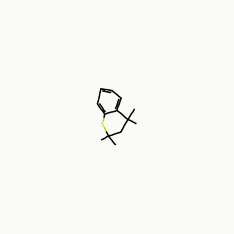 CC1(C)CC(C)(C)c2c[c]ccc2S1